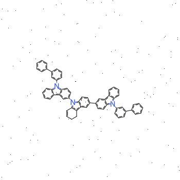 C1=Cc2c(c3cc(-c4ccc5c(c4)c4ccccc4n5-c4cccc(-c5ccccc5)c4)ccc3n2-c2ccc3c(c2)c2ccccc2n3-c2cccc(-c3ccccc3)c2)CC1